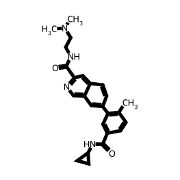 Cc1ccc(C(=O)NC2CC2)cc1-c1ccc2cc(C(=O)NCCN(C)C)ncc2c1